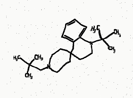 CC(C)(C)CN1CCC2(CC1)CCN(C(C)(C)C)c1ccccc12